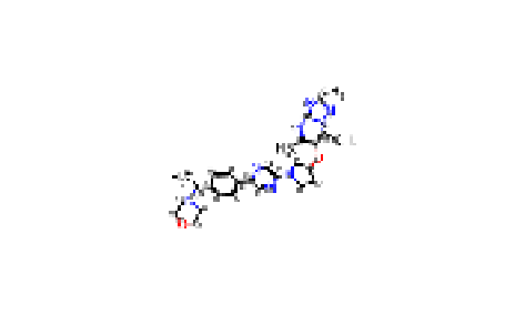 Cc1nc2nc(C)c(OC3CCN(c4cnc(-c5ccc(C(C)N6CCOCC6)cc5)cn4)C3)c(C)n2n1